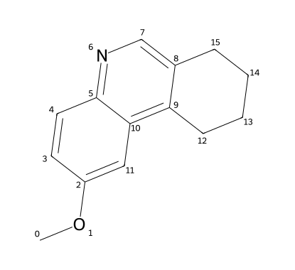 COc1ccc2ncc3c(c2c1)CCCC3